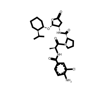 CC(C)[C@H]1CCCC[C@@H]1O[C@@H]1OC(=O)C[C@@H]1NC(=O)[C@@H]1CCCN1C(=O)[C@H](C)NC(=O)c1ccc(N)c(Cl)c1